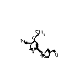 CCOc1cc(-n2cc(C=O)cn2)ncc1C#N